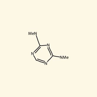 CNc1ncnc(NC)n1